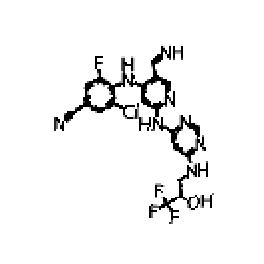 N#Cc1cc(F)c(Nc2cc(Nc3cc(NC[C@@H](O)C(F)(F)F)ncn3)ncc2C=N)c(Cl)c1